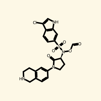 O=CON([C@H]1CCN(c2ccc3c(c2)CCNC3)C1=O)S(=O)(=O)c1ccc2c(Cl)c[nH]c2c1